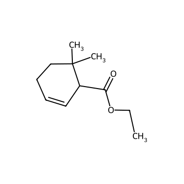 CCOC(=O)C1C=CCCC1(C)C